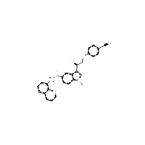 Cn1cc(C(=O)COc2ccc(C#N)cc2)c2cc(NS(=O)(=O)c3cccc4cccnc34)ccc21